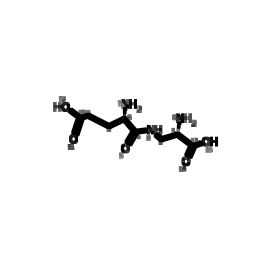 N[C@@H](CNC(=O)[C@@H](N)CCC(=O)O)C(=O)O